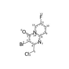 O=c1c(Br)c(CCl)nc2ccc(F)cn12